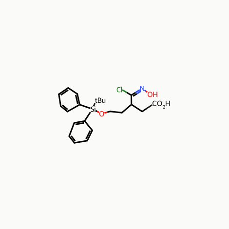 CC(C)(C)[Si](OCCC(CC(=O)O)/C(Cl)=N\O)(c1ccccc1)c1ccccc1